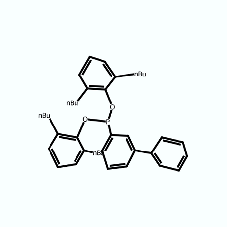 CCCCc1cccc(CCCC)c1OP(Oc1c(CCCC)cccc1CCCC)c1cccc(-c2ccccc2)c1